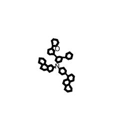 c1ccc(-c2cc(-c3cccc4c3oc3ccccc34)cc(N(c3ccc(-c4cccc5c4ccc4ccccc45)cc3)c3ccc4ccc5ccccc5c4c3)c2)cc1